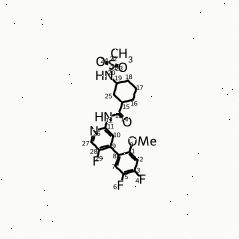 COc1cc(F)c(F)cc1-c1cc(NC(=O)C2CCCC(NS(C)(=O)=O)C2)ncc1F